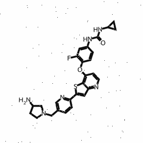 NC1CCN(Cc2ccc(-c3cc4nccc(Oc5ccc(NC(=O)NC6CC6)cc5F)c4s3)nc2)C1